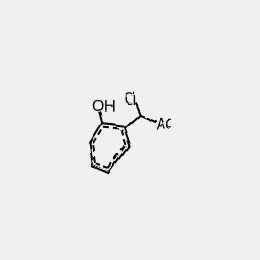 CC(=O)C(Cl)c1ccccc1O